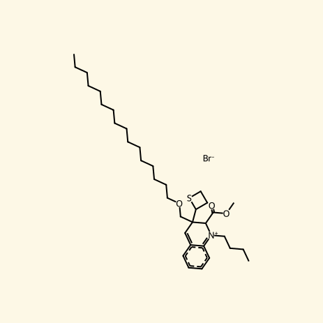 CCCCCCCCCCCCCCCCOCC1(C2CCS2)C=c2ccccc2=[N+](CCCC)C1C(=O)OC.[Br-]